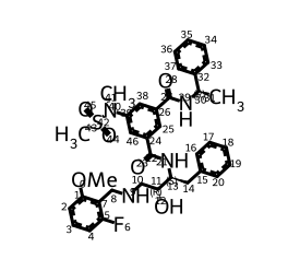 COc1cccc(F)c1CNC[C@@H](O)[C@H](Cc1ccccc1)NC(=O)c1cc(C(=O)N[C@H](C)c2ccccc2)cc(N(C)S(C)(=O)=O)c1